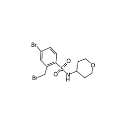 O=S(=O)(NC1CCOCC1)c1ccc(Br)cc1CBr